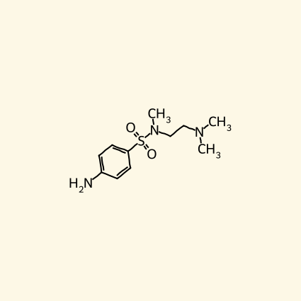 CN(C)CCN(C)S(=O)(=O)c1ccc(N)cc1